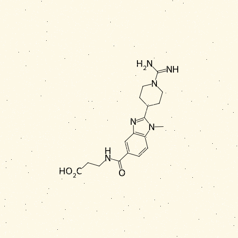 Cn1c(C2CCN(C(=N)N)CC2)nc2cc(C(=O)NCCC(=O)O)ccc21